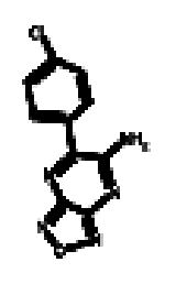 Nc1nc2nonc2nc1-c1ccc(Cl)cc1